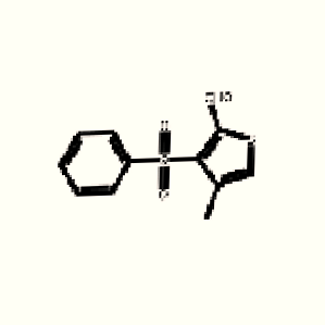 Cc1csc(C=O)c1S(=O)(=O)c1ccccc1